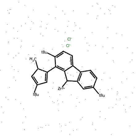 CC1C=C(C(C)(C)C)C=C1c1c(C(C)(C)C)ccc2c1[CH]([Zr+2])c1cc(C(C)(C)C)ccc1-2.[Cl-].[Cl-]